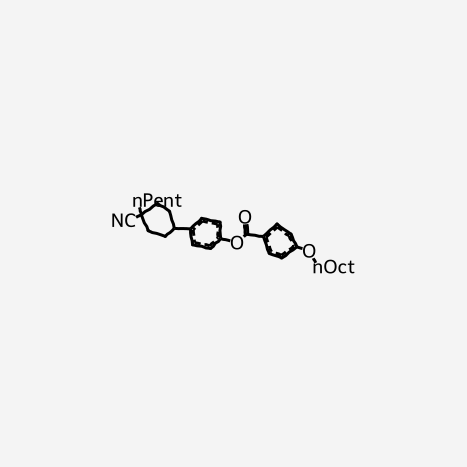 CCCCCCCCOc1ccc(C(=O)Oc2ccc(C3CCC(C#N)(CCCCC)CC3)cc2)cc1